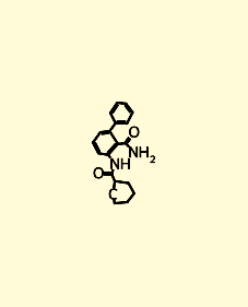 NC(=O)c1c(NC(=O)C2CCCCC2)cccc1-c1ccccc1